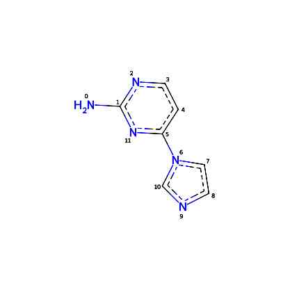 Nc1nccc(-n2ccnc2)n1